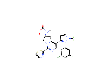 CN1C(=O)OC[C@@]12CC1=C(c3ccn(C(F)F)n3)[C@H](c3ccc(F)cc3Cl)N=C(c3nccs3)N1C2